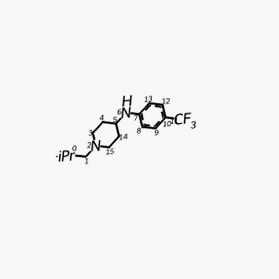 C[C](C)CN1CCC(Nc2ccc(C(F)(F)F)cc2)CC1